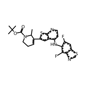 CC1C(c2cc3c(Nc4c(F)cc5scnc5c4F)ccnc3s2)=CCCN1C(=O)OC(C)(C)C